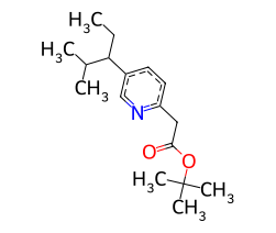 CCC(c1ccc(CC(=O)OC(C)(C)C)nc1)C(C)C